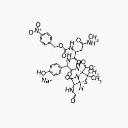 CNC(=O)CC(NC(=O)OCc1ccc([N+](=O)[O-])cc1)C(=O)NC(C(=O)N[C@@]1(C(=O)[O-])N2C(=O)[C@H](NC=O)[C@H]2SC1(C)C)c1ccc(O)cc1.[Na+]